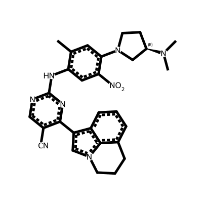 Cc1cc(N2CC[C@@H](N(C)C)C2)c([N+](=O)[O-])cc1Nc1ncc(C#N)c(-c2cn3c4c(cccc24)CCC3)n1